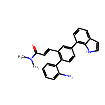 CN(C)C(=O)/C=C/c1cc(-c2cccc3cc[nH]c23)ccc1-c1ccccc1N